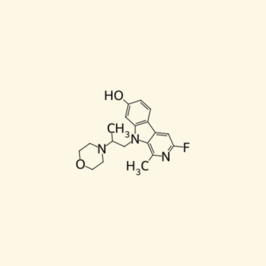 Cc1nc(F)cc2c3ccc(O)cc3n(CC(C)N3CCOCC3)c12